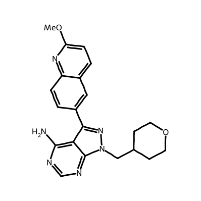 COc1ccc2cc(-c3nn(CC4CCOCC4)c4ncnc(N)c34)ccc2n1